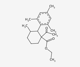 CCOC(=O)C1(C(C)=O)CCCC(C)C1c1c(C)cc(C)cc1C